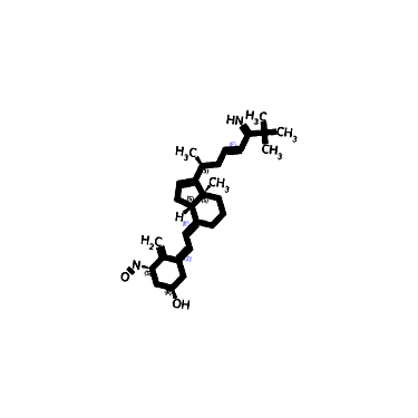 C=C1/C(=C\C=C2/CCC[C@]3(C)C([C@@H](C)C/C=C/C(=N)C(C)(C)C)=CC[C@@H]23)C[C@@H](O)C[C@@H]1N=O